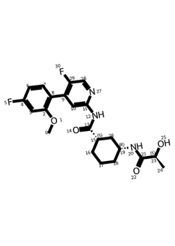 COc1cc(F)ccc1-c1cc(NC(=O)[C@H]2CCC[C@@H](NC(=O)[C@H](C)O)C2)ncc1F